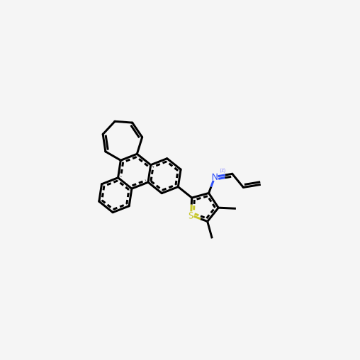 C=C/C=N\c1c(-c2ccc3c4c(c5ccccc5c3c2)C=CCC=C4)sc(C)c1C